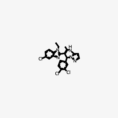 CCn1c(C2=C(C)Nc3ccnn3C2c2ccc(Cl)c(Cl)c2)nc2cc(Cl)ccc21